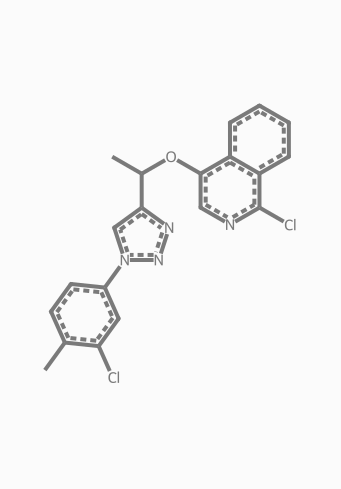 Cc1ccc(-n2cc(C(C)Oc3cnc(Cl)c4ccccc34)nn2)cc1Cl